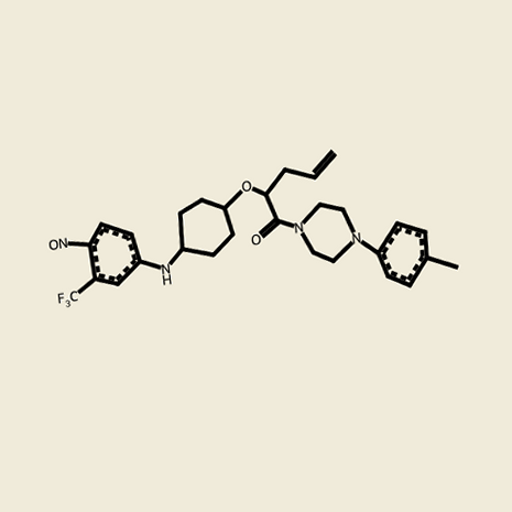 C=CCC(OC1CCC(Nc2ccc(N=O)c(C(F)(F)F)c2)CC1)C(=O)N1CCN(c2ccc(C)cc2)CC1